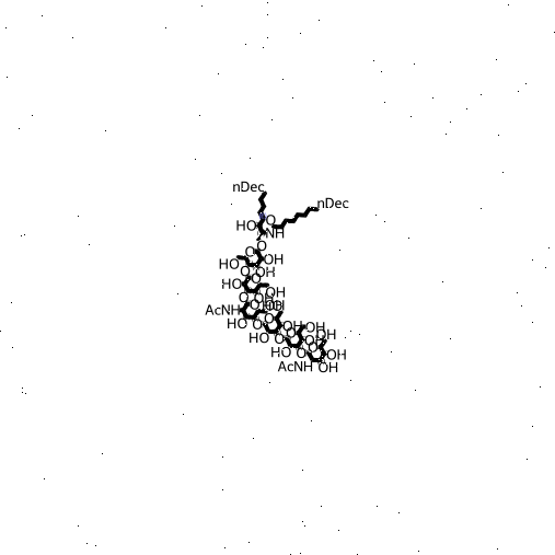 CCCCCCCCCCCCC/C=C/[C@@H](O)[C@H](CO[C@@H]1OC(CO)[C@@H](O[C@@H]2OC(CO)[C@H](O)[C@H](O[C@@H]3OC(CO)[C@@H](O[C@@H]4OC(CO)[C@H](O)[C@H](O[C@H]5OC(CO)[C@H](O)[C@H](O[C@@H]6OC(CO)[C@H](O)[C@H](O)C6NC(C)=O)C5O)C4O)[C@H](O)C3NC(C)=O)C2O)[C@H](O)C1O)NC(=O)CCCCCCCCCCCCCCCCC